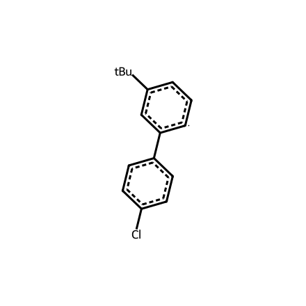 CC(C)(C)c1cc[c]c(-c2ccc(Cl)cc2)c1